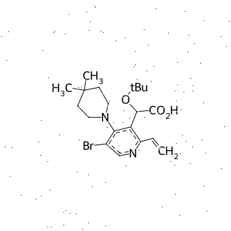 C=Cc1ncc(Br)c(N2CCC(C)(C)CC2)c1C(OC(C)(C)C)C(=O)O